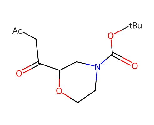 CC(=O)CC(=O)C1CN(C(=O)OC(C)(C)C)CCO1